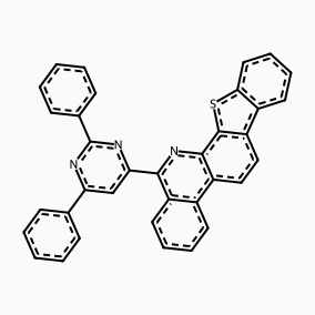 c1ccc(-c2cc(-c3nc4c(ccc5c6ccccc6sc54)c4ccccc34)nc(-c3ccccc3)n2)cc1